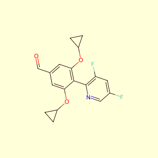 O=Cc1cc(OC2CC2)c(-c2ncc(F)cc2F)c(OC2CC2)c1